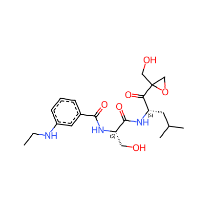 CCNc1cccc(C(=O)N[C@@H](CO)C(=O)N[C@@H](CC(C)C)C(=O)C2(CO)CO2)c1